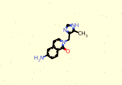 Cc1[nH]cnc1Cn1ccc2cc(N)ccc2c1=O